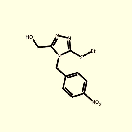 CCSc1nnc(CO)n1Cc1ccc([N+](=O)[O-])cc1